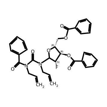 C=CCN(C(=O)c1ccccc1)C(=O)N(CC=C)C1O[C@H](COC(=O)c2ccccc2)[C@@H](OC(=O)c2ccccc2)[C@@H]1F